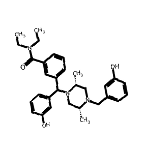 CCN(CC)C(=O)c1cccc(C(c2cccc(O)c2)N2C[C@@H](C)N(Cc3cccc(O)c3)C[C@H]2C)c1